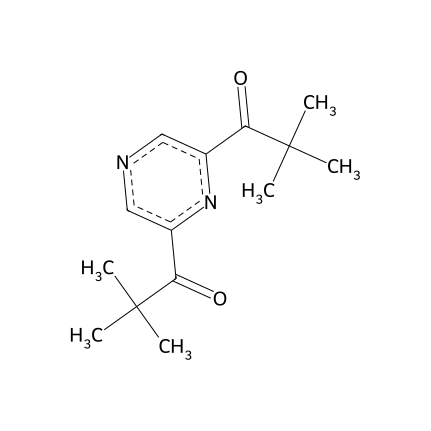 CC(C)(C)C(=O)c1cncc(C(=O)C(C)(C)C)n1